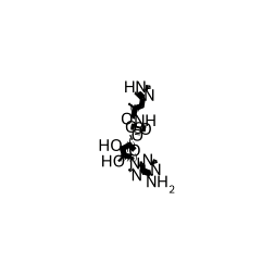 C[C@@H](Cc1c[nH]cn1)C(=O)NS(=O)(=O)OC[C@@H]1O[C@H](n2cnc3c(N)ncnc32)[C@@H](O)[C@H]1O